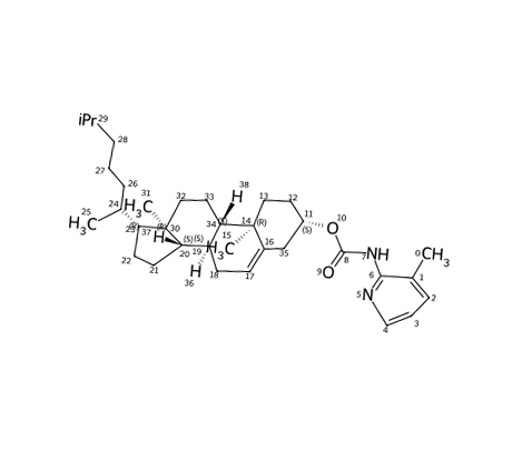 Cc1cccnc1NC(=O)O[C@H]1CC[C@@]2(C)C(=CC[C@H]3[C@@H]4CC[C@H](C(C)CCCC(C)C)[C@@]4(C)CC[C@@H]32)C1